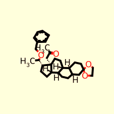 CC(=O)C[C@]12CC[C@H]3[C@@H](CC[C@@H]4CC5(CC[C@@H]43)OCCO5)[C@@H]1CC[C@@H]2C(C)OCc1ccccc1